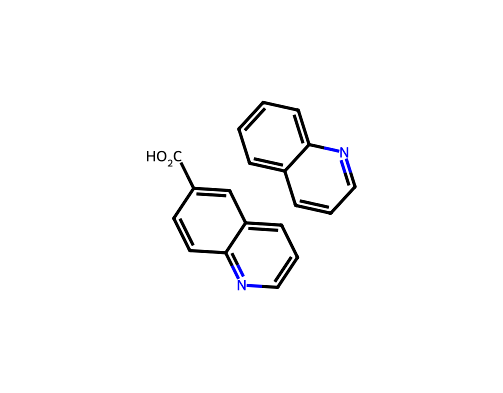 O=C(O)c1ccc2ncccc2c1.c1ccc2ncccc2c1